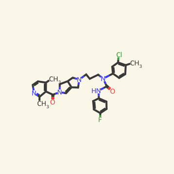 Cc1ccc(N(CCCN2CC3=CN(C(=O)c4c(C)ccnc4C)CC3C2)C(=O)Nc2ccc(F)cc2)cc1Cl